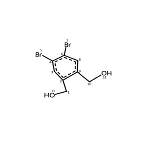 OCc1cc(Br)c(Br)cc1CO